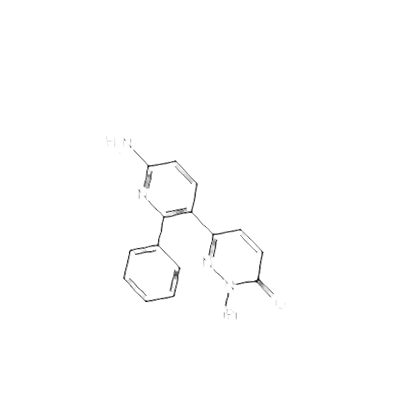 CC(C)n1nc(-c2ccc(N)nc2-c2ccccc2)ccc1=O